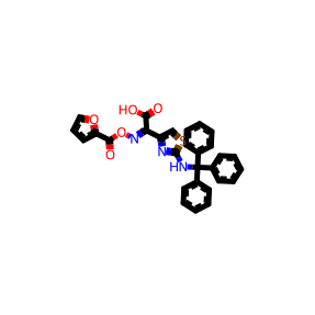 O=C(O)C(=NOC(=O)c1ccco1)c1csc(NC(c2ccccc2)(c2ccccc2)c2ccccc2)n1